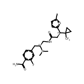 Cc1ccc([C@H](CC(=O)NC[C@H](Cc2ccc(C(N)=O)c(F)c2)N(C)C)C2(C(F)(F)F)CC2)s1